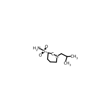 C[C](C)CN1CCC[C@H](S(N)(=O)=O)C1